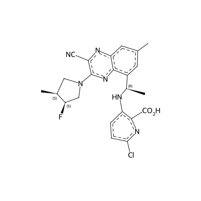 Cc1cc([C@@H](C)Nc2ccc(Cl)nc2C(=O)O)c2nc(N3C[C@@H](F)[C@@H](C)C3)c(C#N)nc2c1